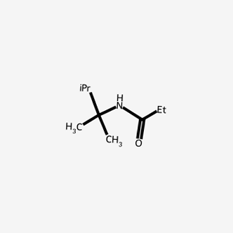 [CH2]CC(=O)NC(C)(C)C(C)C